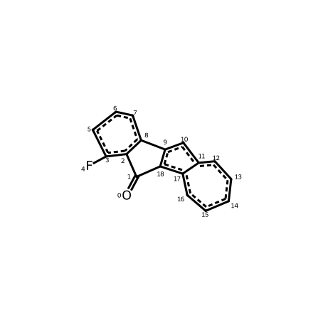 O=C1c2c(F)cccc2-c2cc3cccccc-3c21